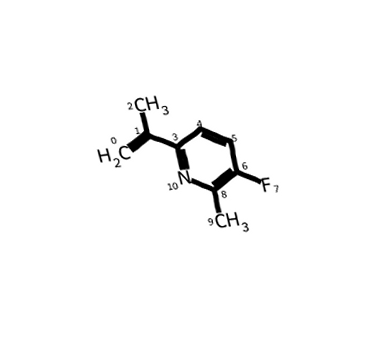 C=C(C)c1ccc(F)c(C)n1